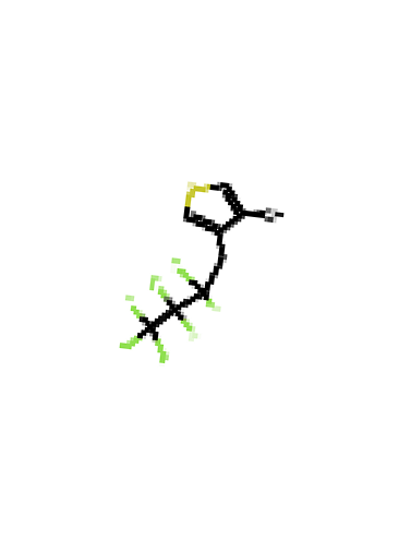 Cc1cscc1CC(F)(F)C(F)(F)C(F)(F)F